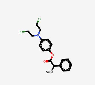 COC(C(=O)Oc1ccc(N(CCCl)CCCl)cc1)c1ccccc1